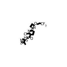 Cc1c(SNC(=O)c2ccc(-n3ccc(OCCC(F)(F)F)n3)nc2Cl)cnn1C